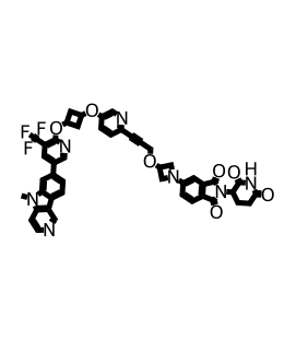 Cn1c2ccncc2c2ccc(-c3cnc(OC4CC(Oc5ccc(C#CCOC6CN(c7ccc8c(c7)C(=O)N(C7CCC(=O)NC7=O)C8=O)C6)nc5)C4)c(C(F)(F)F)c3)cc21